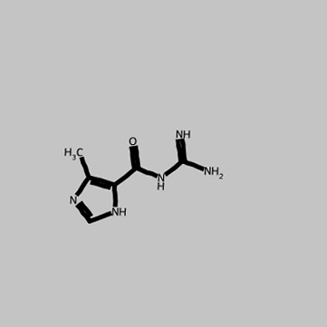 Cc1nc[nH]c1C(=O)NC(=N)N